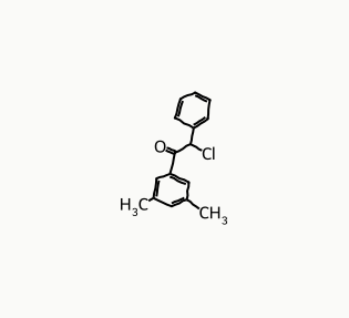 Cc1cc(C)cc(C(=O)C(Cl)c2ccccc2)c1